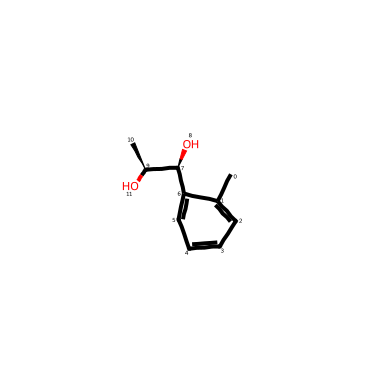 Cc1ccccc1[C@H](O)[C@H](C)O